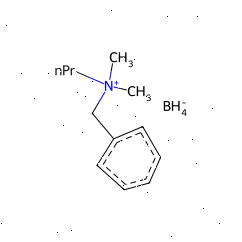 CCC[N+](C)(C)Cc1ccccc1.[BH4-]